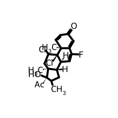 CC(=O)[C@@]1(O)C(C)C[C@H]2[C@@H]3C=C(F)C4=CC(=O)C=C[C@]4(C)[C@@]3(Cl)C(Cl)C[C@@]21C